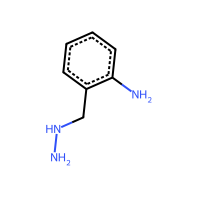 NNCc1ccccc1N